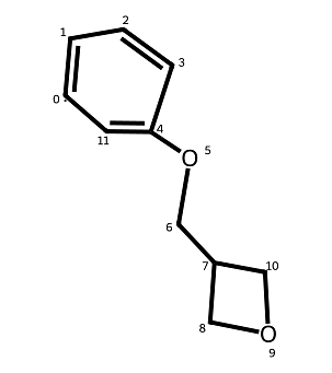 [c]1cccc(OCC2COC2)c1